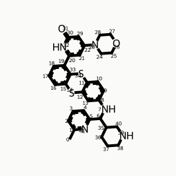 Cc1cccc(C(Nc2ccc3c(c2)Sc2cccc(-c4cc(N5CCOCC5)cc(=O)[nH]4)c2S3)C2CCCNC2)n1